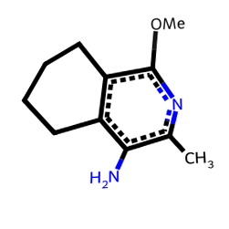 COc1nc(C)c(N)c2c1CCCC2